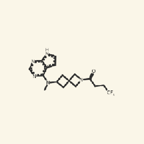 CN(c1ncnc2[nH]ccc12)C1CC2(C1)CN(C(=O)CCC(F)(F)F)C2